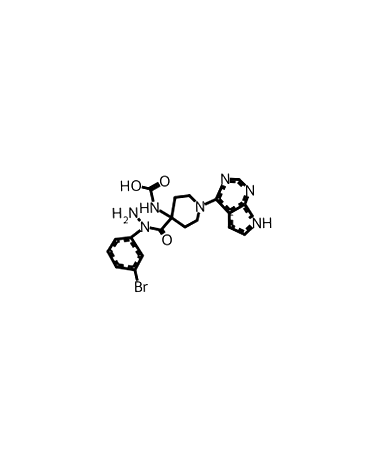 NN(C(=O)C1(NC(=O)O)CCN(c2ncnc3[nH]ccc23)CC1)c1cccc(Br)c1